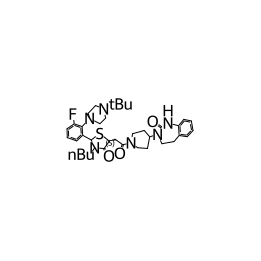 CCCCN1C(=O)[C@H](CC(=O)N2CCC(N3CCc4ccccc4NC3=O)CC2)SC1c1cccc(F)c1N1CCN(C(C)(C)C)CC1